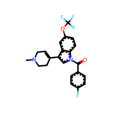 CN1CC=C(c2cn(C(=O)c3ccc(F)cc3)c3ccc(OC(F)(F)F)cc23)CC1